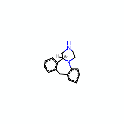 c1ccc2c(c1)Cc1ccccc1N1CCNC[C@@H]21